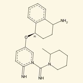 CC1CCCCN1C(=N)n1cc(O[C@@H]2CCC(N)c3ccccc32)ccc1=N